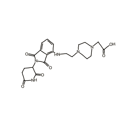 O=C(O)CN1CCN(CCNc2cccc3c2C(=O)N(C2CCC(=O)NC2=O)C3=O)CC1